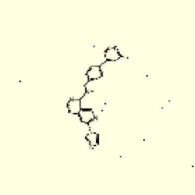 Cc1cc(-c2ccc(CNc3nccc4cc(-n5ccnc5)ncc34)cc2)ccn1